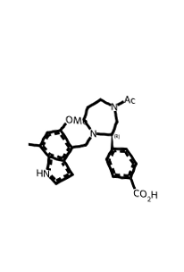 COc1cc(C)c2[nH]ccc2c1CN1CCCN(C(C)=O)C[C@H]1c1ccc(C(=O)O)cc1